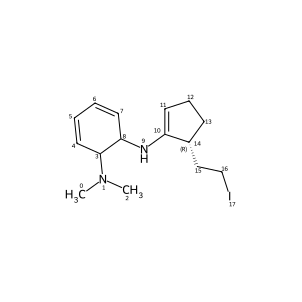 CN(C)C1C=CC=CC1NC1=CCC[C@@H]1CCI